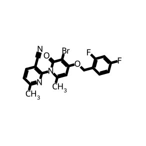 Cc1ccc(C#N)c(-n2c(C)cc(OCc3ccc(F)cc3F)c(Br)c2=O)n1